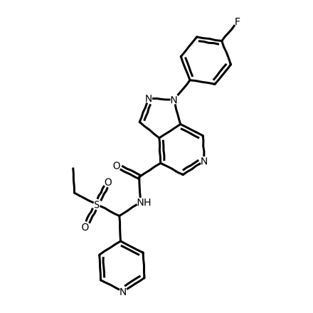 CCS(=O)(=O)C(NC(=O)c1cncc2c1cnn2-c1ccc(F)cc1)c1ccncc1